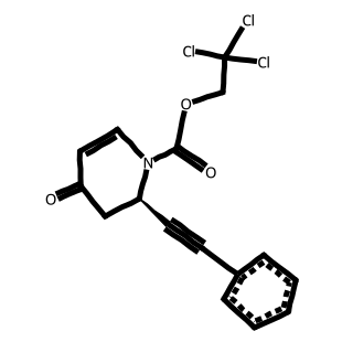 O=C1C=CN(C(=O)OCC(Cl)(Cl)Cl)[C@@H](C#Cc2ccccc2)C1